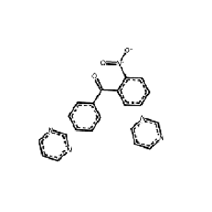 O=C(c1ccccc1)c1ccccc1[N+](=O)[O-].c1cncnc1.c1cncnc1